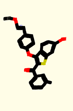 Cc1cccc(C(=O)c2sc3cc(O)ccc3c2Oc2ccc(/C=C/OC=O)cc2)c1